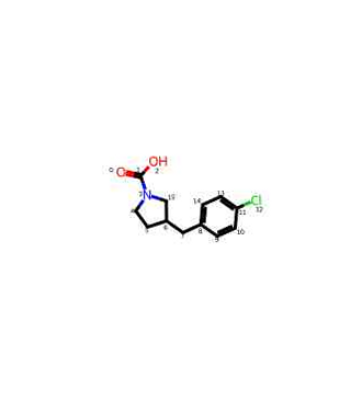 O=C(O)N1CCC(Cc2ccc(Cl)cc2)C1